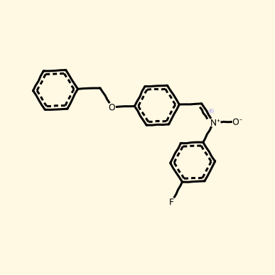 [O-]/[N+](=C/c1ccc(OCc2ccccc2)cc1)c1ccc(F)cc1